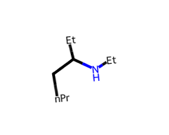 CCCCC(CC)NCC